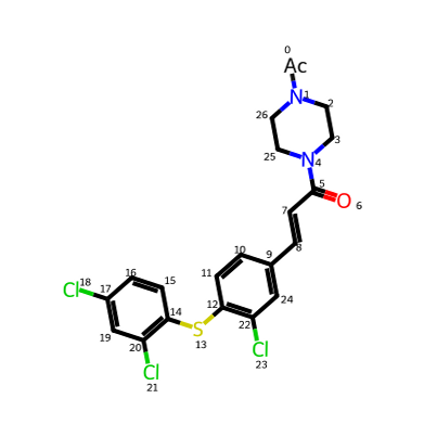 CC(=O)N1CCN(C(=O)C=Cc2ccc(Sc3ccc(Cl)cc3Cl)c(Cl)c2)CC1